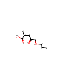 CCCOCC(=O)CC(C)C(=O)O